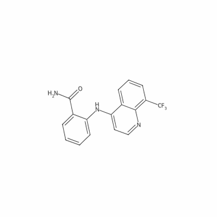 NC(=O)c1ccccc1Nc1ccnc2c(C(F)(F)F)cccc12